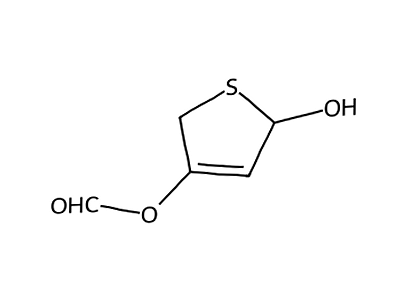 O=COC1=CC(O)SC1